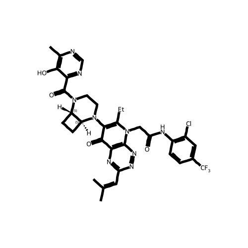 CCc1c(N2CCN(C(=O)c3ncnc(C)c3O)[C@H]3CC[C@@H]32)c(=O)c2nc(C=C(C)C)nnc2n1CC(=O)Nc1ccc(C(F)(F)F)cc1Cl